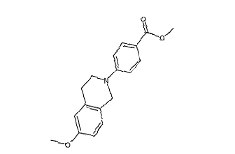 COC(=O)c1ccc(N2CCc3cc(OC)ccc3C2)cc1